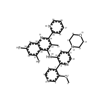 COc1cnccc1-c1ncc(N2CCOCC2)cc1Nc1c(C)c(-c2ccccn2)nc2cc(F)cc(F)c12